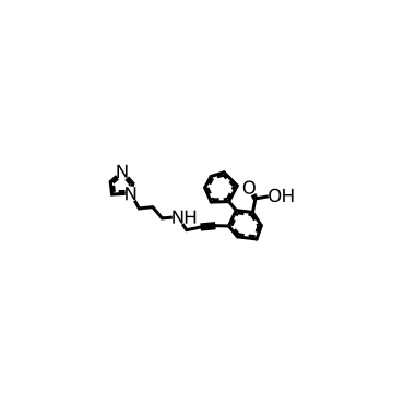 O=C(O)c1cccc(C#CCNCCCn2ccnc2)c1-c1ccccc1